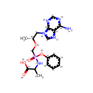 CC(NP(=O)(CO[C@H](C)Cn1cnc2c(N)ncnc21)Oc1ccccc1)C(=O)O